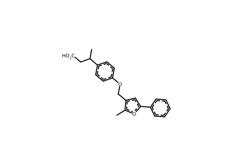 Cc1oc(-c2ccccc2)cc1COc1ccc(C(C)CC(=O)O)cc1